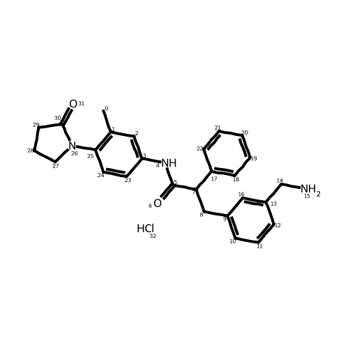 Cc1cc(NC(=O)C(Cc2cccc(CN)c2)c2ccccc2)ccc1N1CCCC1=O.Cl